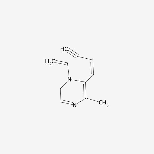 C#C/C=C\C1=C(C)N=CCN1C=C